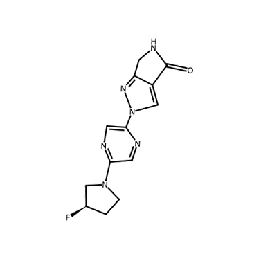 O=C1NCc2nn(-c3cnc(N4CC[C@@H](F)C4)cn3)cc21